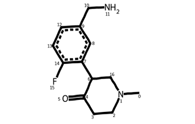 CN1CCC(=O)C(c2cc(CN)ccc2F)C1